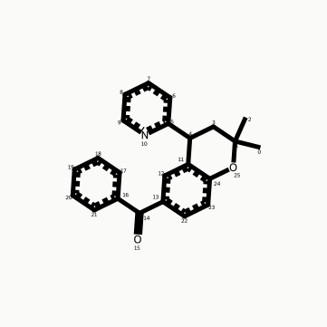 CC1(C)CC(c2ccccn2)c2cc(C(=O)c3ccccc3)ccc2O1